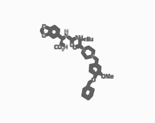 CCCC[C@H](NC(=O)N[C@@H](CC(=O)O)c1ccc2c(c1)OCO2)C(=O)N1CCN(Cc2ccc(OCc3ccccc3)c(OC)c2)CC1